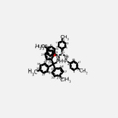 Cc1ccc(P=NP(c2ccc(C)cc2)N(PC(c2ccc(C)cc2)(c2ccc(C)cc2)c2ccc(C)cc2)c2ccc(C)cc2)cc1